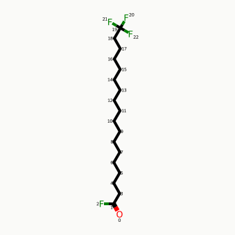 O=C(F)CCCCCCCCCCCCCCCCC(F)(F)F